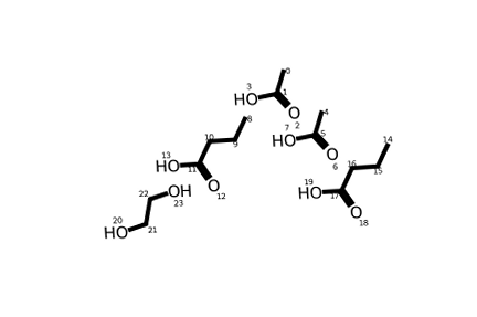 CC(=O)O.CC(=O)O.CCCC(=O)O.CCCC(=O)O.OCCO